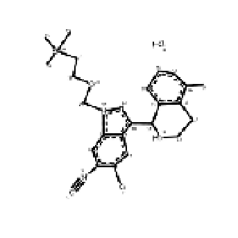 Cl.[C-]#[N+]c1cc2c(cc1Cl)c(C1NCCc3c(C)cccc31)nn2COCC[Si](C)(C)C